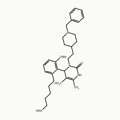 CCCCCCCCCCCCCCCc1cccc(OC)c1C1C(C(=O)O)=C(C)NC(=S)N1CCC1CCN(Cc2ccccc2)CC1